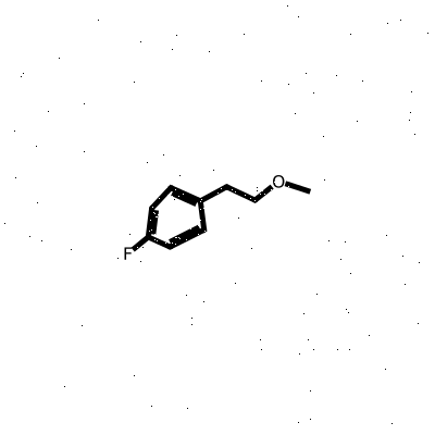 COCCc1ccc(F)cc1